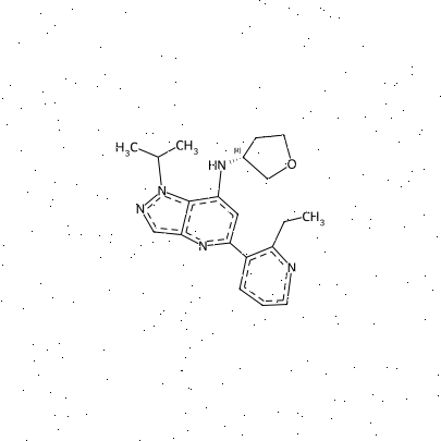 CCc1ncccc1-c1cc(N[C@@H]2CCOC2)c2c(cnn2C(C)C)n1